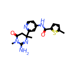 Cc1ccc(C(=O)Nc2ccnc(C3(C)CC(=O)N(C)C(N)=N3)c2)s1